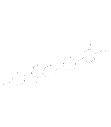 CCCCCc1ccc(C2CCC(CCc3ccc(C4CCC(CCC)CC4)c(F)c3F)CC2)cc1F